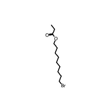 CCC(=O)OCCCCCCCCCBr